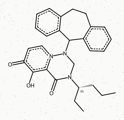 CCC[C@H](CC)N1CN(C2c3ccccc3CCc3ccccc32)n2ccc(=O)c(O)c2C1=O